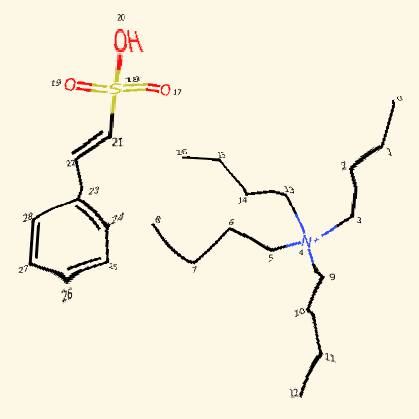 CCCC[N+](CCCC)(CCCC)CCCC.O=S(=O)(O)C=Cc1ccccc1